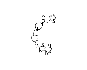 O=C(Cc1cccs1)N1CCN(Cc2ccc(Oc3nc4nccnc4s3)cc2)CC1